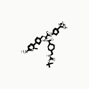 Cc1nc(N)ccc1-c1ccc(C[C@H](NC(=O)C2CCC(CNC(=O)OC(C)(C)C)CC2)C(=O)Nc2ccc(-c3nnn[nH]3)cc2)cc1